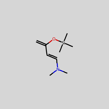 C=C(C=CN(C)C)O[Si](C)(C)C